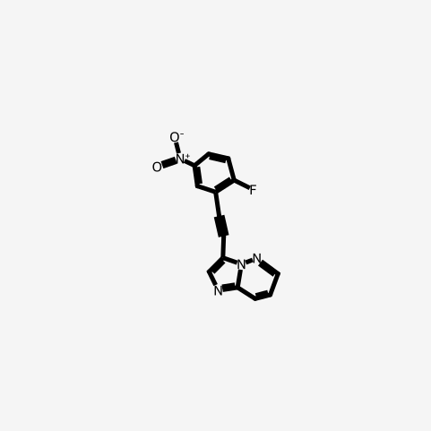 O=[N+]([O-])c1ccc(F)c(C#Cc2cnc3cccnn23)c1